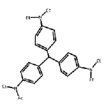 CCN(CC)c1ccc(C(c2ccc(N(CC)CC)cc2)c2ccc(N(CC)C(C)=O)cc2)cc1